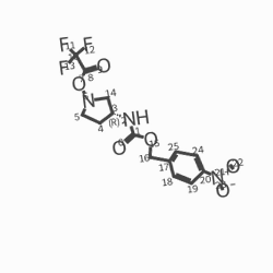 O=C(N[C@@H]1CCN(OC(=O)C(F)(F)F)C1)OCc1ccc([N+](=O)[O-])cc1